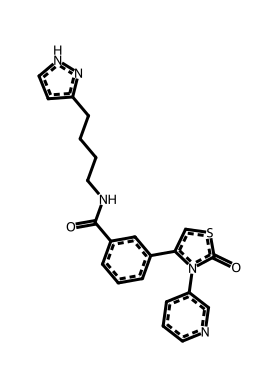 O=C(NCCCCc1cc[nH]n1)c1cccc(-c2csc(=O)n2-c2cccnc2)c1